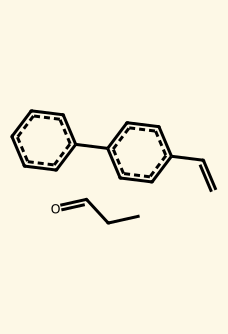 C=Cc1ccc(-c2ccccc2)cc1.CCC=O